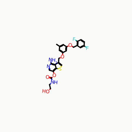 Cc1cc(OCc2cc(F)ccc2F)cc(OCc2csc3c(OC(=O)NCCO)cnc(N)c23)c1